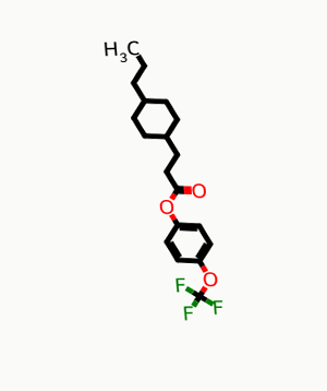 CCCC1CCC(CCC(=O)Oc2ccc(OC(F)(F)F)cc2)CC1